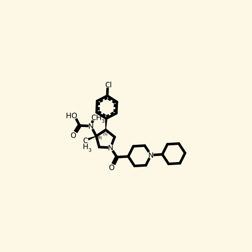 CN(C(=O)O)[C@@]1(C)CN(C(=O)C2CCN(C3CCCCC3)CC2)C[C@@H]1c1ccc(Cl)cc1